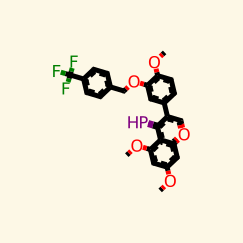 COc1cc(OC)c2c(=P)c(-c3ccc(OC)c(OCc4ccc(C(F)(F)F)cc4)c3)coc2c1